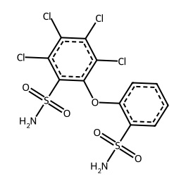 NS(=O)(=O)c1ccccc1Oc1c(Cl)c(Cl)c(Cl)c(Cl)c1S(N)(=O)=O